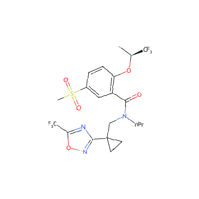 CCCN(CC1(c2noc(C(F)(F)F)n2)CC1)C(=O)c1cc(S(C)(=O)=O)ccc1O[C@@H](C)C(F)(F)F